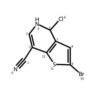 N#CC1=CNC(Cl)c2cc(Br)sc21